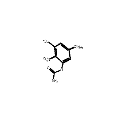 COc1cc(OC(N)=O)c([N+](=O)[O-])c(C(C)(C)C)c1